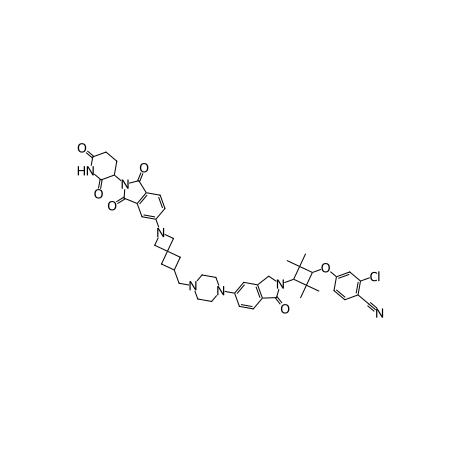 CC1(C)C(Oc2ccc(C#N)c(Cl)c2)C(C)(C)C1N1Cc2cc(N3CCN(CC4CC5(C4)CN(c4ccc6c(c4)C(=O)N(C4CCC(=O)NC4=O)C6=O)C5)CC3)ccc2C1=O